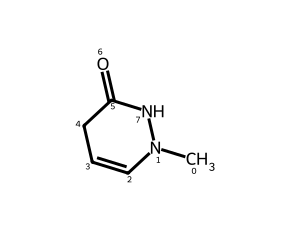 CN1C=CCC(=O)N1